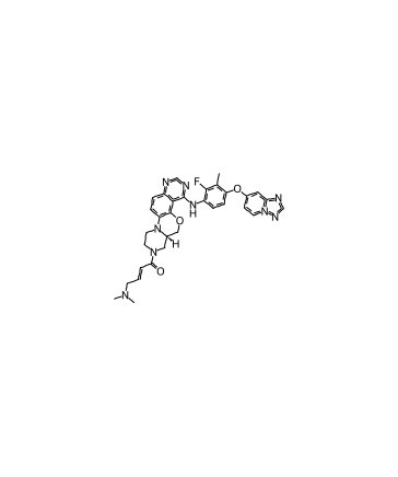 Cc1c(Oc2ccn3ncnc3c2)ccc(Nc2ncnc3ccc4c(c23)OC[C@@H]2CN(C(=O)/C=C/CN(C)C)CCN42)c1F